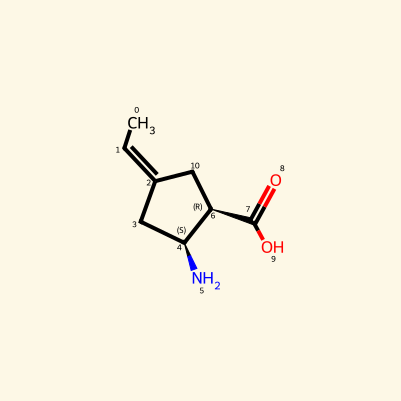 CC=C1C[C@H](N)[C@H](C(=O)O)C1